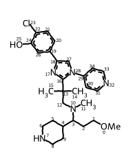 COCCC(C1CCNCC1)N(C)CC(C)(C)c1nc(-c2ccc(Cl)c(O)c2)cn1-c1ccncc1